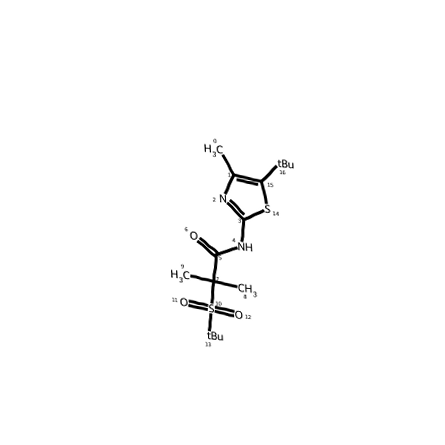 Cc1nc(NC(=O)C(C)(C)S(=O)(=O)C(C)(C)C)sc1C(C)(C)C